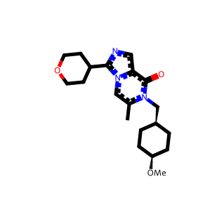 CO[C@H]1CC[C@@H](Cn2c(C)cn3c(C4CCOCC4)ncc3c2=O)CC1